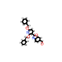 O=Cc1ccc2nc(-c3ccc(OCc4ccccc4)nc3OCc3ccccc3)oc2c1